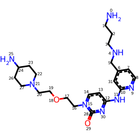 NCCCNCc1ccnc(Nc2ccn(CCOCCN3CCC(N)CC3)c(=O)n2)c1